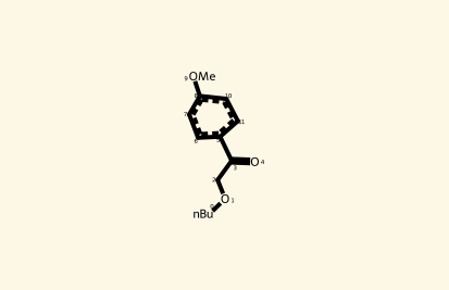 CCCCOCC(=O)c1ccc(OC)cc1